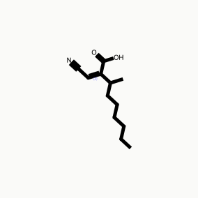 CCCCCCC(C)/C(=C/C#N)C(=O)O